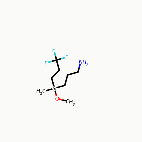 CO[Si](C)(CCCN)CCC(F)(F)F